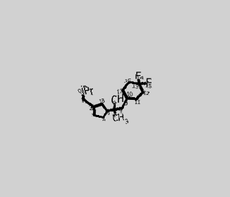 CC(C)CC1CCC(C(C)(C)CC2CCC(F)(F)CC2)C1